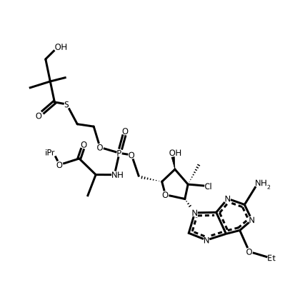 CCOc1nc(N)nc2c1ncn2[C@@H]1O[C@H](COP(=O)(NC(C)C(=O)OC(C)C)OCCSC(=O)C(C)(C)CO)[C@@H](O)[C@@]1(C)Cl